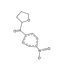 O=C(c1ccc([N+](=O)[O-])cc1)C1CCCO1